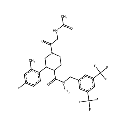 CC(=O)NCC(=O)N1CCC(C(=O)N(C)Cc2cc(C(F)(F)F)cc(C(F)(F)F)c2)C(c2ccc(F)cc2C)C1